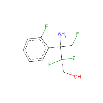 NC(CF)(c1ccccc1F)C(F)(F)CO